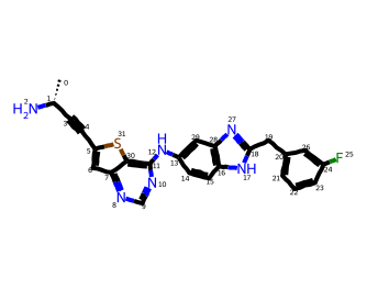 C[C@@H](N)C#Cc1cc2ncnc(Nc3ccc4[nH]c(Cc5cccc(F)c5)nc4c3)c2s1